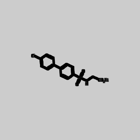 CCOC(=O)CNS(=O)(=O)c1ccc(-c2ccc(Cl)cc2)cc1